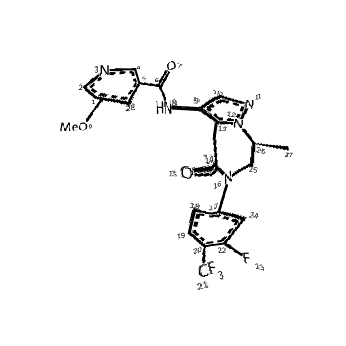 COc1cncc(C(=O)Nc2cnn3c2C(=O)N(c2ccc(C(F)(F)F)c(F)c2)C[C@@H]3C)c1